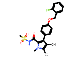 CCc1c(C#N)c(-c2ccc(OCc3ccccc3F)cc2)c(C(=O)NS(C)(=O)=O)n1C